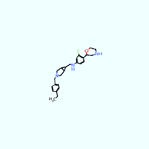 CCc1ccc(CN2CC3C(CNc4ccc(C5CNCCO5)c(F)c4)C3C2)cc1